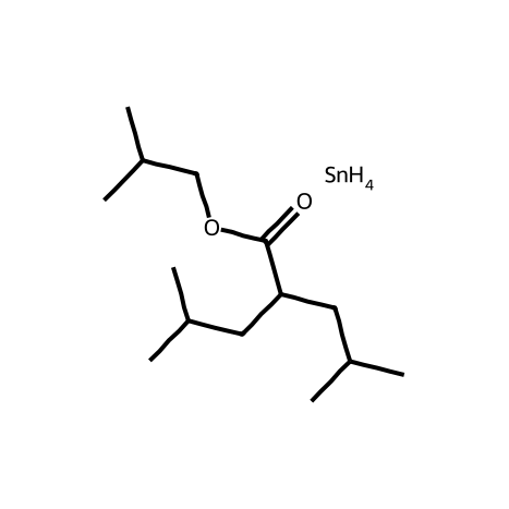 CC(C)COC(=O)C(CC(C)C)CC(C)C.[SnH4]